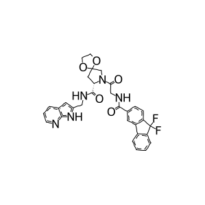 O=C(NCC(=O)N1CC2(C[C@H]1C(=O)NCc1cc3cccnc3[nH]1)OCCO2)c1ccc2c(c1)-c1ccccc1C2(F)F